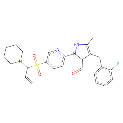 C=CC(N1CCCCC1)S(=O)(=O)c1ccc(N2NC(C)=C(Cc3ccccc3F)C2C=O)nc1